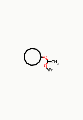 CCCOC(C)OC1CCCCCCCCCC1